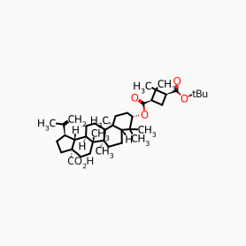 C=C(C)[C@@H]1CC[C@]2(C(=O)O)CC[C@]3(C)[C@H](CCC4[C@@]5(C)CC[C@H](OC(=O)[C@@H]6C[C@H](C(=O)OC(C)(C)C)C6(C)C)C(C)(C)[C@@H]5CC[C@]43C)[C@@H]12